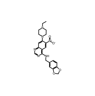 CCN1CCN(c2cc3ncnc(NCc4ccc5c(c4)OCO5)c3cc2[N+](=O)[O-])CC1